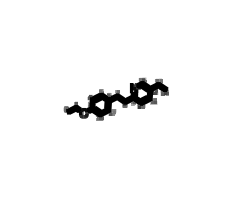 CCOc1ccc(CCc2ccc(CC)cn2)cc1